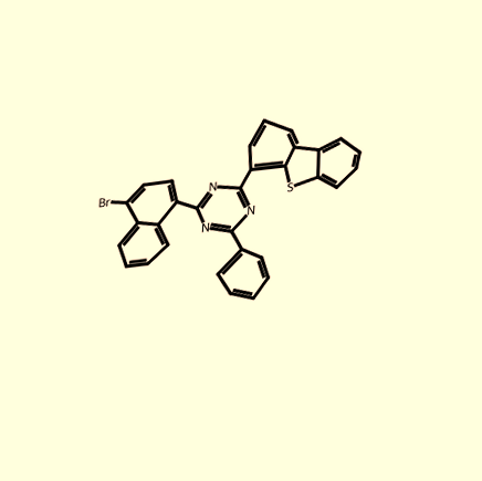 Brc1ccc(-c2nc(-c3ccccc3)nc(-c3cccc4c3sc3ccccc34)n2)c2ccccc12